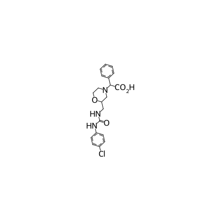 O=C(NCC1CN(C(C(=O)O)c2ccccc2)CCO1)Nc1ccc(Cl)cc1